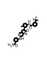 Cc1ccc(NC(=O)c2cccc(C(F)(F)F)c2)cc1-c1cc2cnc(Nc3cccc(C(N)=O)c3)cc2n(C)c1=O